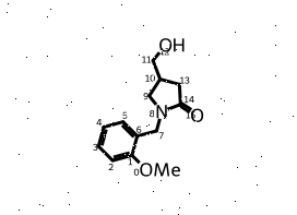 COc1ccccc1CN1CC(CO)CC1=O